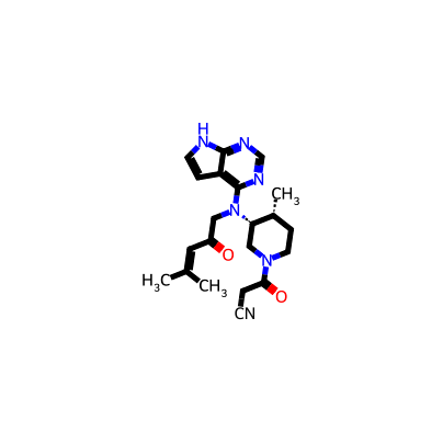 CC(C)=CC(=O)CN(c1ncnc2[nH]ccc12)[C@H]1CN(C(=O)CC#N)CC[C@H]1C